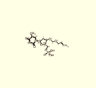 C=CCOCOC1C[C@H](n2cc(C)c(=O)[nH]c2=O)O[C@@H]1COP(=O)(O)O